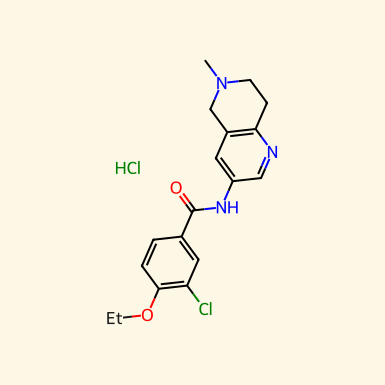 CCOc1ccc(C(=O)Nc2cnc3c(c2)CN(C)CC3)cc1Cl.Cl